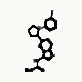 COC(=O)Nc1cnc2ccc(N3CCC[C@@H]3c3cccc(F)c3)nn12